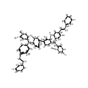 Cc1ccc(N(c2ccc(/C=C/c3ccccc3)cc2)c2ccc(-c3ccc(N(c4ccc(C)cc4)c4ccc(/C=C/c5ccccc5)cc4)c(C)c3)cc2C)cc1